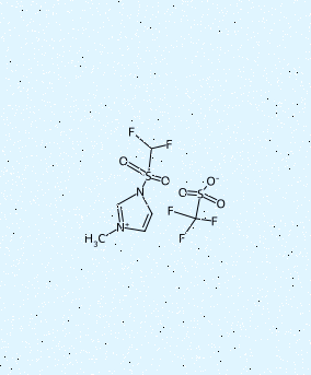 C[n+]1ccn(S(=O)(=O)C(F)F)c1.O=S(=O)([O-])C(F)(F)F